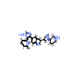 Cc1cccc(-c2[nH]cnc2-c2ccc3ncc(-c4cnn(C5CCCNC5)c4)cc3c2)n1